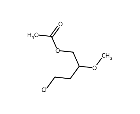 COC(CCCl)COC(C)=O